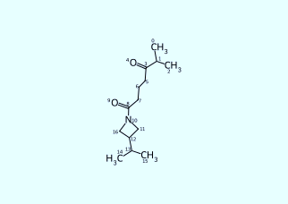 CC(C)C(=O)CCCC(=O)N1CC(C(C)C)C1